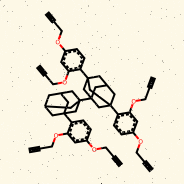 C#CCOc1ccc(C23CC4CC(C2)CC(C25CC6CC(c7ccc(OCC#C)cc7OCC#C)(CC(c7ccc(OCC#C)cc7OCC#C)(C6)C2)C5)(C4)C3)c(OCC#C)c1